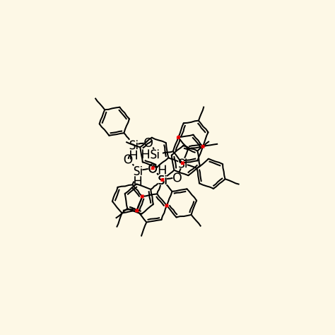 Cc1ccc([SiH](O[SiH](O[SiH](O[Si](c2ccc(C)cc2)(c2ccc(C)cc2)c2ccc(C)cc2)c2ccc(C)cc2)c2ccc(C)cc2)O[SiH](O[Si](c2ccc(C)cc2)(c2ccc(C)cc2)c2ccc(C)cc2)c2ccc(C)cc2)cc1